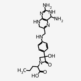 CCCC(C(=O)O)N1CC(O)(c2ccc(NCC3=NC4=C(N=C(N)NC4N)NC3)cc2)C1=O